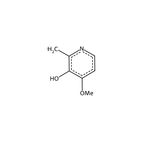 [CH2]c1nccc(OC)c1O